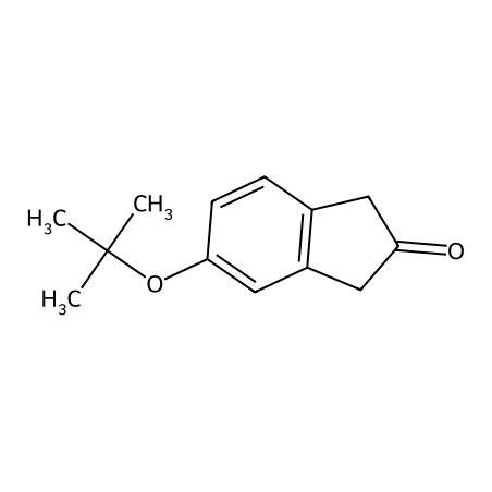 CC(C)(C)Oc1ccc2c(c1)CC(=O)C2